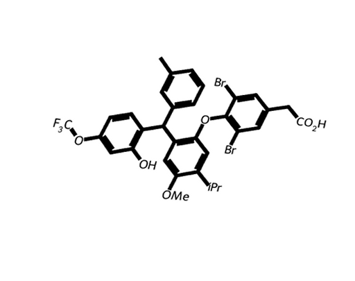 COc1cc(C(c2cccc(C)c2)c2ccc(OC(F)(F)F)cc2O)c(Oc2c(Br)cc(CC(=O)O)cc2Br)cc1C(C)C